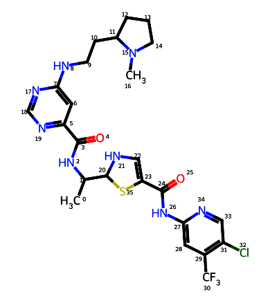 CC(NC(=O)c1cc(NCCC2CCCN2C)ncn1)C1NC=C(C(=O)Nc2cc(C(F)(F)F)c(Cl)cn2)S1